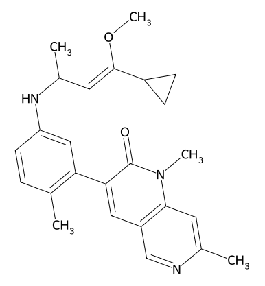 CO/C(=C\C(C)Nc1ccc(C)c(-c2cc3cnc(C)cc3n(C)c2=O)c1)C1CC1